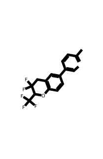 C=C(C)/C=C\C(=C/C)c1ccc2c(c1)CC(F)(F)C(C(F)(F)F)O2